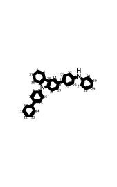 C1=Cc2c(n(-c3ccc(-c4ccccc4)cc3)c3ccc(-c4ccc(Nc5ccccc5)cc4)cc23)CC1